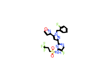 O=S(=O)(CCC(F)(F)F)Nc1nc(-c2cc(-c3ccon3)n(Cc3ccccc3F)n2)ncc1F